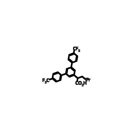 CC(C)CC(C(=O)O)c1cc(-c2ccc(C(F)(F)F)cc2)cc(-c2ccc(C(F)(F)F)cc2)c1